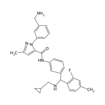 Cc1ccc(C(NCC2CC2)c2cccc(NC(=O)c3cc(C)nn3-c3cccc(CN)c3)c2)c(F)c1